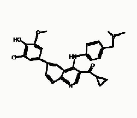 COc1cc(-c2ccc3ncc(C(=O)C4CC4)c(Nc4ccc(CN(C)C)cc4)c3c2)cc(Cl)c1O